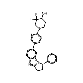 OC1CCN(c2ncc(-c3ccc4nc5n(c4c3)[C@@H](c3ccccc3)CC5)cn2)CC1(F)F